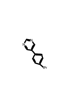 CC(C)c1ccc(-c2cncnc2)cc1